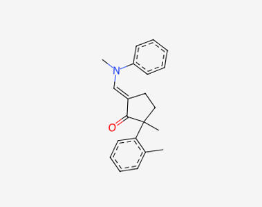 Cc1ccccc1C1(C)CCC(=CN(C)c2ccccc2)C1=O